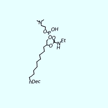 CCCCCCCCCCCCCCCCCCCC(COP(O)OCCN(C)C)OC(=O)NCC